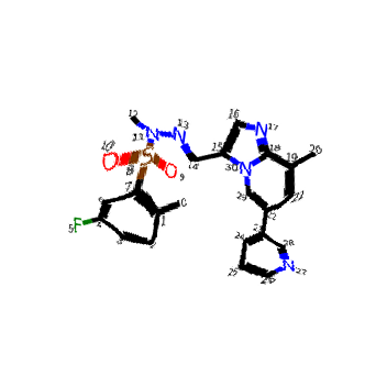 Cc1ccc(F)cc1S(=O)(=O)N(C)N=Cc1cnc2c(C)cc(-c3cccnc3)cn12